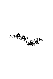 CC(=O)Nc1cc(C)cc(COc2c(Cl)cc(CC(=O)OC(=O)CNC(=O)c3cc(Cl)c(OCc4cc(C)cc(NC(C)=O)c4F)c(Cl)c3)cc2Cl)c1F